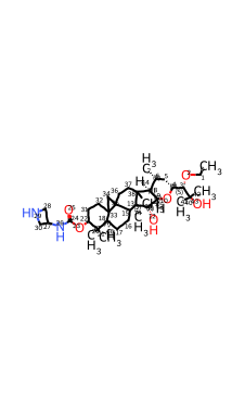 CCO[C@@H]([C@H]1C[C@@H](C)[C@H]2[C@H](O1)[C@H](O)[C@@]1(C)C3CC[C@H]4C(C)(C)C(OC(=O)NC5CNC5)CCC45CC35CCC21C)C(C)(C)O